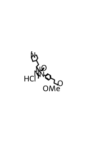 COC(=O)CCc1ccc(-n2c(C)nn(CCC3CCN(C)CC3)c2=O)cc1.Cl